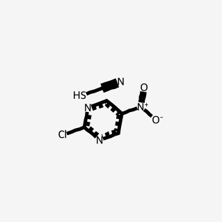 N#CS.O=[N+]([O-])c1cnc(Cl)nc1